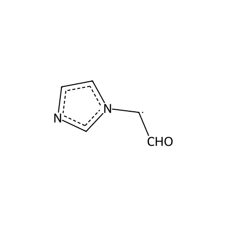 O=C[CH]n1ccnc1